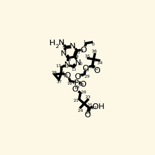 CCOc1nc(N)nc2c1ncn2CC1(OCP(=O)(OCCC(C)(C)C(=O)O)OCOC(=O)C(C)(C)C)CC1